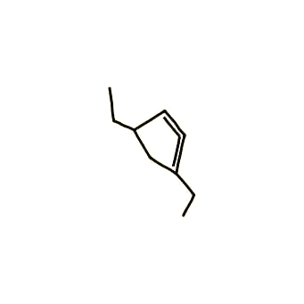 CCC1=C=CC(CC)C1